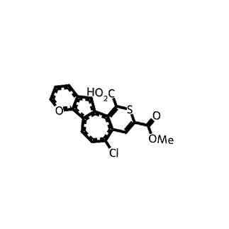 COC(=O)C1=Cc2c(Cl)ccc3c(cc4cccoc43)c2=C(C(=O)O)S1